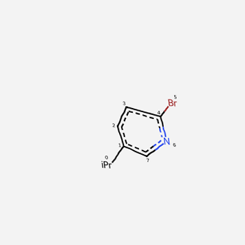 CC(C)c1ccc(Br)nc1